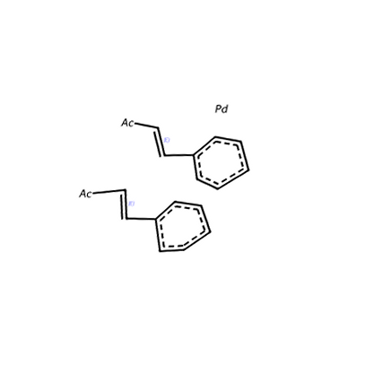 CC(=O)/C=C/c1ccccc1.CC(=O)/C=C/c1ccccc1.[Pd]